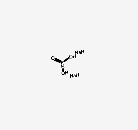 O=[PH](O)O.[NaH].[NaH]